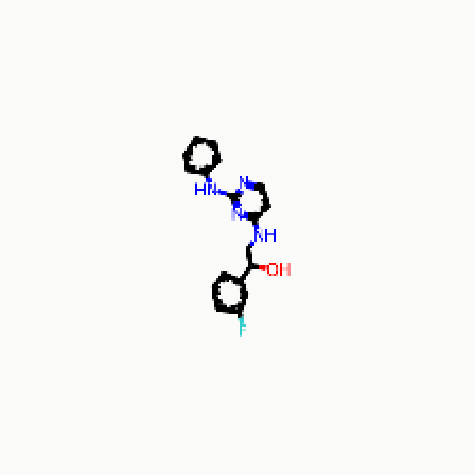 OC(CNc1ccnc(Nc2ccccc2)n1)c1cccc(F)c1